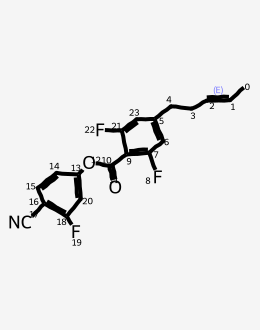 C/C=C/CCc1cc(F)c(C(=O)Oc2ccc(C#N)c(F)c2)c(F)c1